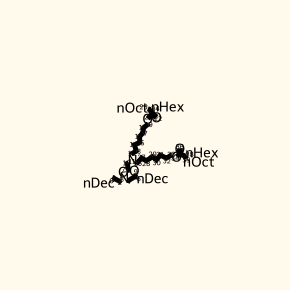 CCCCCCCCCCCCN(CCCCCCCCCCCC)OC(=O)CN(CCCCCCCCOC(=O)C(CCCCCC)CCCCCCCC)CCCCCCCCOC(=O)C(CCCCCC)CCCCCCCC